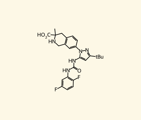 CC1(C(=O)O)Cc2ccc(-n3nc(C(C)(C)C)cc3NC(=O)Nc3cc(F)ccc3F)cc2CN1